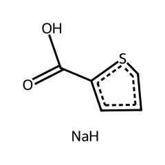 O=C(O)c1cccs1.[NaH]